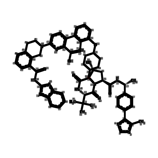 Cc1ncsc1-c1ccc([C@@H](C)NC(=O)[C@@H]2C[C@@H](O)CN2C(=O)[C@@H](NC(=O)CC2CCC(Oc3cccc(-c4ccc(N5CCc6cccc(C(=O)Nc7nc8ccccc8s7)c6C5)nc4C(=O)O)c3C)CC2)C(C)(C)C)cc1